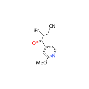 COc1cc(C(=O)C(CC#N)C(C)C)ccn1